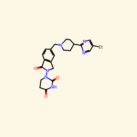 CCc1cnc(C2CCN(Cc3ccc4c(c3)CN(N3CCC(=O)NC3=O)C4=O)CC2)nc1